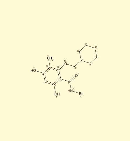 CCNC(=O)c1c(O)cc(O)c(C)c1OCC1CCCCC1